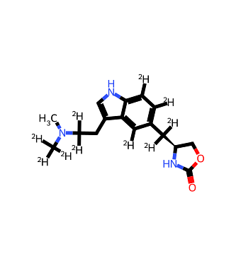 [2H]c1c(C([2H])([2H])[C@H]2COC(=O)N2)c([2H])c2c(CC([2H])([2H])N(C)C([2H])([2H])[2H])c[nH]c2c1[2H]